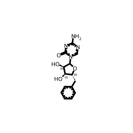 Nc1ncn(C2O[C@H](Cc3[c]cccc3)[C@@H](O)[C@H]2O)c(=O)n1